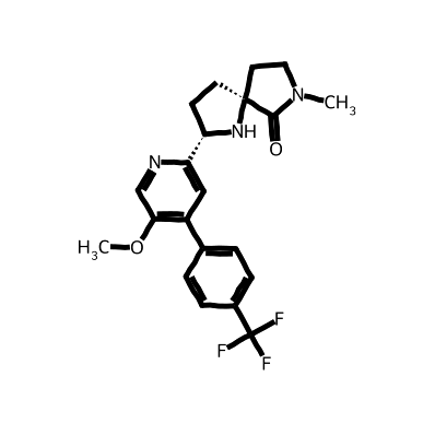 COc1cnc([C@@H]2CC[C@@]3(CCN(C)C3=O)N2)cc1-c1ccc(C(F)(F)F)cc1